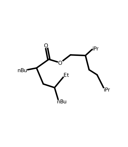 CCCCC(CC)CC(CCCC)C(=O)OCC(CCC(C)C)C(C)C